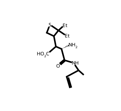 C=CC(C)NC(=O)[C@@H](N)C(C(=O)O)C1CSC1(CC)CC